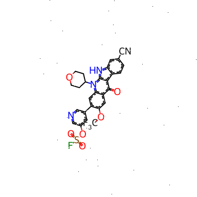 N#Cc1ccc2c(c1)[nH]c1c2c(=O)c2cc(OC(F)(F)F)c(-c3cncc(OS(=O)(=O)F)c3)cc2n1C1CCOCC1